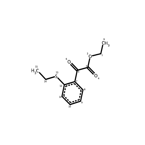 CCOC(=O)C(=O)c1ccccc1SCC